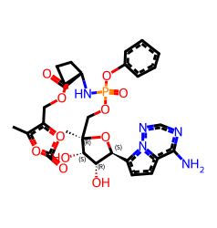 Cc1oc(=O)oc1COC(=O)C1(NP(=O)(OC[C@@]2(C)O[C@@H](c3ccc4c(N)ncnn34)[C@H](O)[C@@H]2O)Oc2ccccc2)CCC1